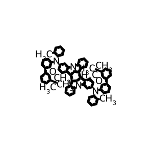 Cc1ccccc1N(c1ccc2c3c4c5ccccc5n5c6cc(N(c7ccccc7C)c7cccc8c7oc7c(C(C)(C)C)cccc78)ccc6c(c6c7ccccc7n(c2c1)c63)c45)c1cccc2c1oc1c(C(C)(C)C)cccc12